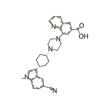 Cn1cc([C@H]2CC[C@@H](N3CCN(c4cc(C(=O)O)cc5cccnc45)CC3)CC2)c2cc(C#N)ccc21